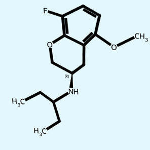 CCC(CC)N[C@H]1COc2c(F)ccc(OC)c2C1